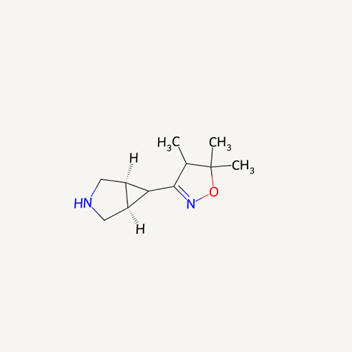 CC1C(C2[C@H]3CNC[C@@H]23)=NOC1(C)C